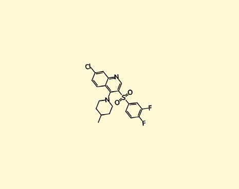 CC1CCN(c2c(S(=O)(=O)c3ccc(F)c(F)c3)cnc3cc(Cl)ccc23)CC1